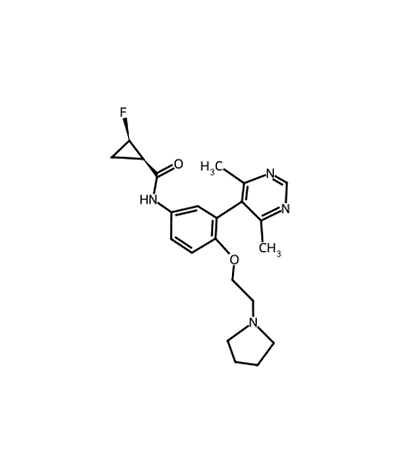 Cc1ncnc(C)c1-c1cc(NC(=O)[C@H]2C[C@H]2F)ccc1OCCN1CCCC1